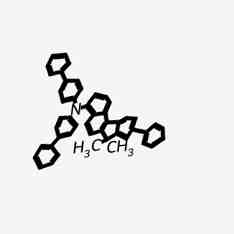 CC1(C)c2cc(-c3ccccc3)ccc2-c2c1ccc1c(N(c3ccc(-c4ccccc4)cc3)c3ccc(-c4ccccc4)cc3)cccc21